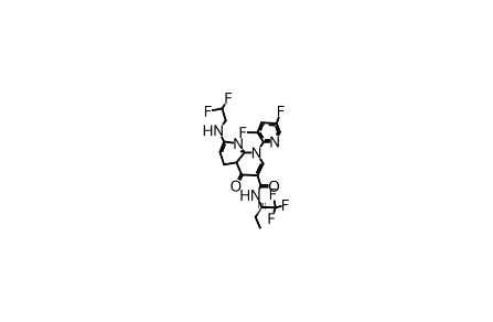 CC[C@@H](NC(=O)C1=CN(c2ncc(F)cc2F)C2=NC(NCC(F)F)=CCC2C1=O)C(F)(F)F